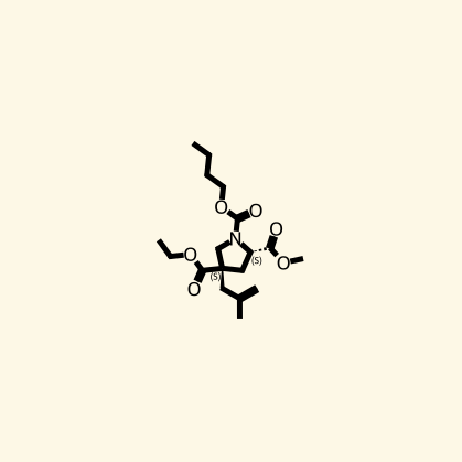 C=C(C)C[C@]1(C(=O)OCC)C[C@@H](C(=O)OC)N(C(=O)OCCCC)C1